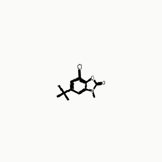 Cn1c(=O)oc2c(Cl)cc(C(C)(C)C)cc21